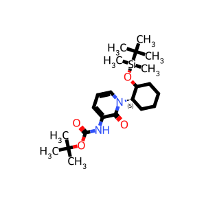 CC(C)(C)OC(=O)Nc1cccn([C@H]2CCCCC2O[Si](C)(C)C(C)(C)C)c1=O